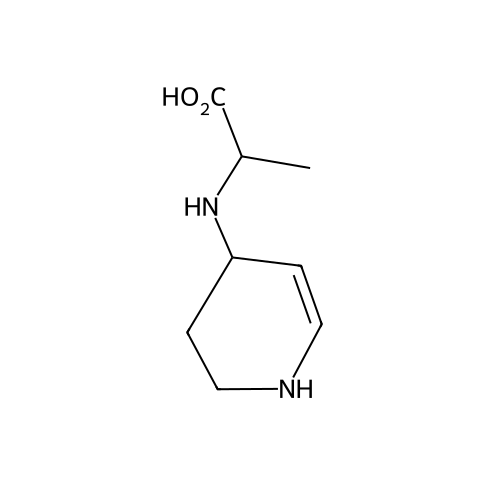 CC(NC1C=CNCC1)C(=O)O